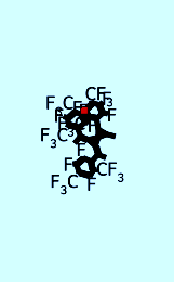 C/C(=C1/C(=C(\C)c2c(F)c(F)c(C(F)(F)F)c(F)c2C(F)(F)F)C12C(C)C2c1c(F)c(F)c(C(F)(F)F)c(F)c1C(F)(F)F)c1c(F)c(F)c(C(F)(F)F)c(F)c1C(F)(F)F